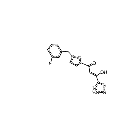 O=C(C=C(O)c1nn[nH]n1)c1ccn(Cc2cccc(F)c2)n1